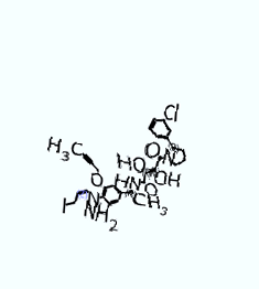 CC#CCOc1cc([C@@H](C)NC(=O)[C@H](O)[C@@H](O)C(=O)N2CCC[C@@H]2c2cccc(Cl)c2)ccc1N(N)/C=C\CI